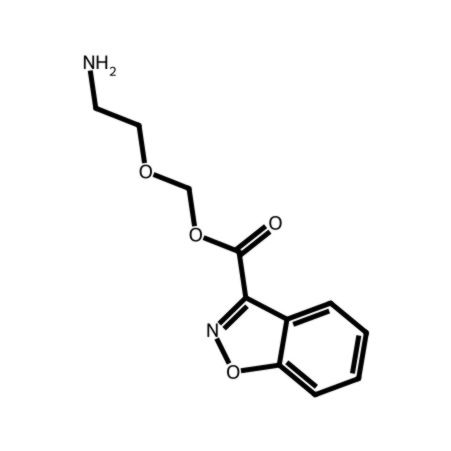 NCCOCOC(=O)c1noc2ccccc12